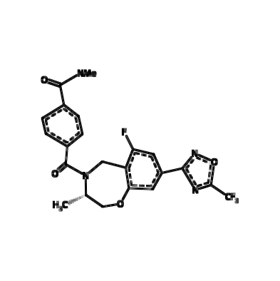 CNC(=O)c1ccc(C(=O)N2Cc3c(F)cc(-c4noc(C(F)(F)F)n4)cc3OC[C@@H]2C)cc1